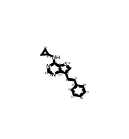 C(=C\c1csc2c(NC3CC3)ncnc12)/c1ccccc1